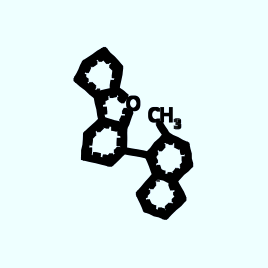 Cc1ccc2ccccc2c1-c1cccc2c1oc1ccccc12